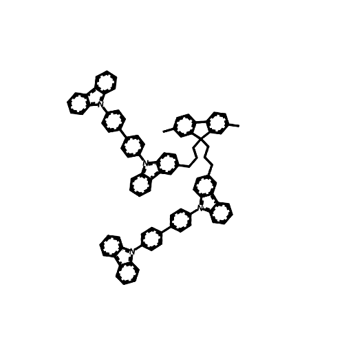 Cc1ccc2c(c1)C(CCCc1ccc3c(c1)c1ccccc1n3-c1ccc(-c3ccc(-n4c5ccccc5c5ccccc54)cc3)cc1)(CCCc1ccc3c(c1)c1ccccc1n3-c1ccc(-c3ccc(-n4c5ccccc5c5ccccc54)cc3)cc1)c1cc(C)ccc1-2